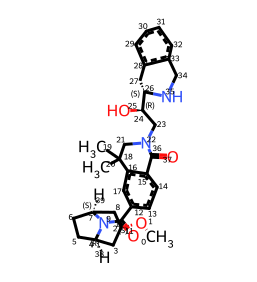 CO[C@@H]1C[C@H]2CC[C@@H](C1)N2C(=O)c1ccc2c(c1)C(C)(C)CN(C[C@@H](O)[C@@H]1Cc3ccccc3CN1)C2=O